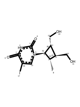 O=c1[nH]c(=O)n([C@@H]2[C@@H](F)[C@H](CO)[C@H]2CO)cc1I